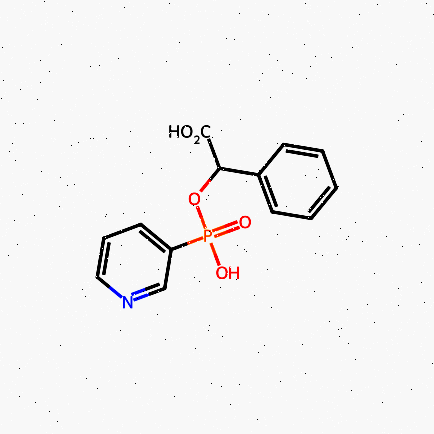 O=C(O)C(OP(=O)(O)c1cccnc1)c1ccccc1